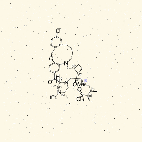 CO[C@@](/C=C/C[C@@H](C)[C@@H](C)[SH](=O)=O)(CN1C[C@@H](C)N(C(C)C)[C@@H](C)C1)[C@@H]1CC[C@H]1CN1CCCCc2cc(Cl)ccc2COc2ccc(C(N)=O)cc21